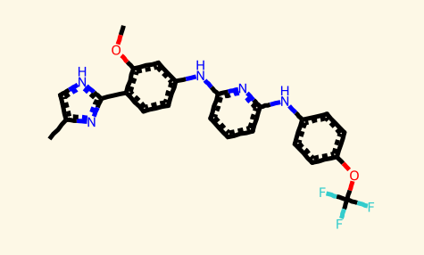 COc1cc(Nc2cccc(Nc3ccc(OC(F)(F)F)cc3)n2)ccc1-c1nc(C)c[nH]1